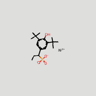 CCC(c1cc(C(C)(C)C)c(O)c(C(C)(C)C)c1)P(=O)([O-])[O-].[Ni+2]